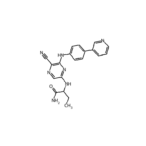 CCC(Nc1cnc(C#N)c(Nc2ccc(-c3cccnc3)cc2)n1)C(N)=O